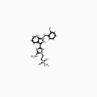 CS(=O)(=O)CCn1nc(-c2nn(Cc3ccccc3F)c3ncccc23)nc1N